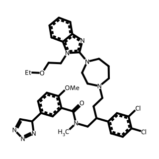 CCOCCn1c(N2CCCN(CCC(CN(C)C(=O)c3cc(C4C=NN=N4)ccc3OC)c3ccc(Cl)c(Cl)c3)CC2)nc2ccccc21